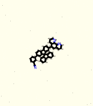 N#Cc1cccc(-c2ccc3c(c2)C2(c4ccccc4-c4ccccc42)c2cc(-c4cc5cccnc5c5ncccc45)ccc2-3)c1